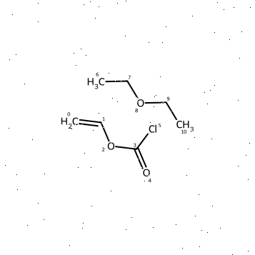 C=COC(=O)Cl.CCOCC